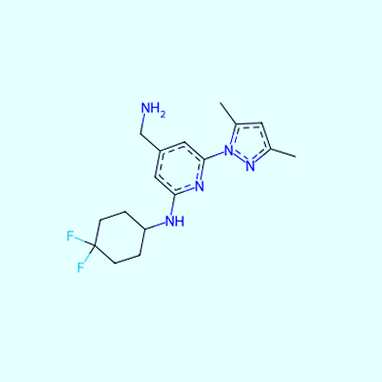 Cc1cc(C)n(-c2cc(CN)cc(NC3CCC(F)(F)CC3)n2)n1